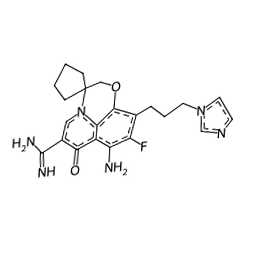 N=C(N)c1cn2c3c(c(CCCn4ccnc4)c(F)c(N)c3c1=O)OCC21CCCC1